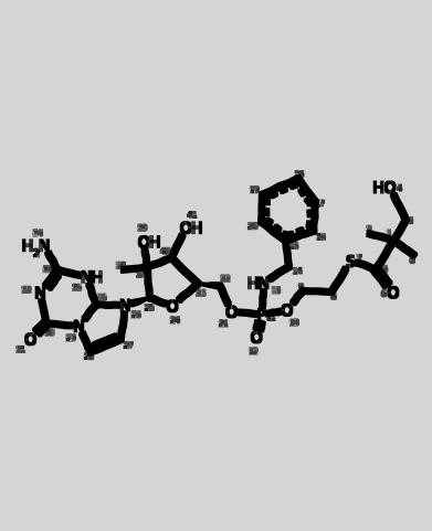 CC(C)(CO)C(=O)SCCOP(=O)(NCc1ccccc1)OC[C@H]1O[C@@H](N2C=CN3C(=O)N=C(N)NC32)C(C)(O)C1O